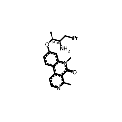 Cc1nccc2c1c(=O)n(C)c1cc(O[C@@H](C)[C@H](N)CC(C)C)ccc21